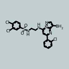 Bc1cnn2c(NCCNS(=O)(=O)c3ccc(Cl)c(Cl)c3)cc(-c3ccccc3Cl)nc12